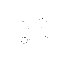 CC(C)(C)OC(=O)CN1CCN(CC(=O)OC(C)(C)C)CCN(Cc2c(OC(C)(C)C)cc([N+](=O)[O-])cc2OC(C)(C)C)CCN(CC(=O)OC(C)(C)C)CC1